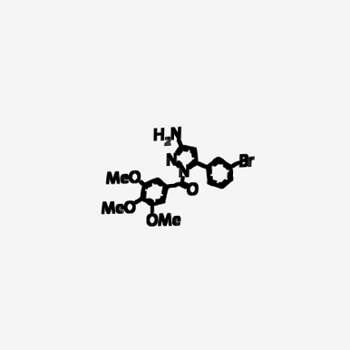 COc1cc(C(=O)n2nc(N)cc2-c2cccc(Br)c2)cc(OC)c1OC